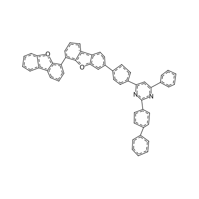 c1ccc(-c2ccc(-c3nc(-c4ccccc4)cc(-c4ccc(-c5ccc6c(c5)oc5c(-c7cccc8c7oc7ccccc78)cccc56)cc4)n3)cc2)cc1